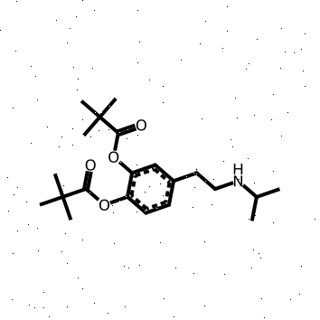 CC(C)NC[CH]c1ccc(OC(=O)C(C)(C)C)c(OC(=O)C(C)(C)C)c1